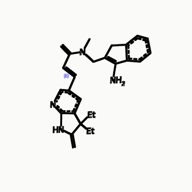 C=C(/C=C/c1cnc2c(c1)C(CC)(CC)C(=C)N2)N(C)CC1=C(N)c2ccccc2C1